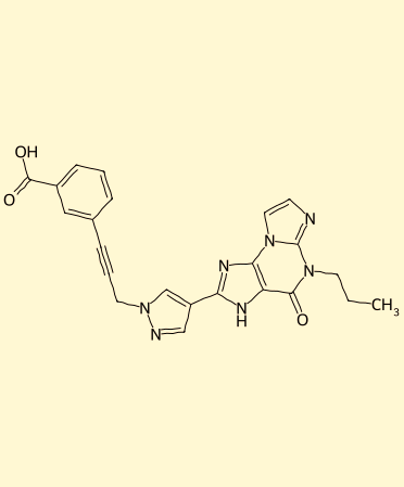 CCCn1c(=O)c2[nH]c(-c3cnn(CC#Cc4cccc(C(=O)O)c4)c3)nc2n2ccnc12